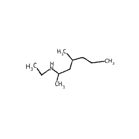 CCCC(C)CC(C)NCC